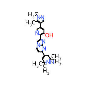 Cc1c(-c2cnc(-c3cn4ccc(C5=CC(C)(C)NC(C)(C)C5)nc4n3)c(O)c2)cnn1C